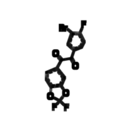 O=C(C(=O)c1ccc2c(c1)OC(F)(F)O2)c1ccc(F)c(Br)c1